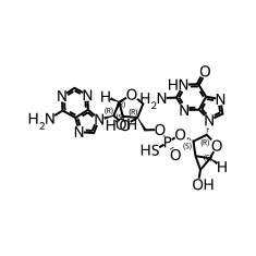 Nc1nc2c(ncn2[C@@H]2O[C@@H]3C(O)C3[C@@H]2OP(=O)(S)OC[C@@]23CO[C@@H]([C@H](n4cnc5c(N)ncnc54)O2)[C@@H]3O)c(=O)[nH]1